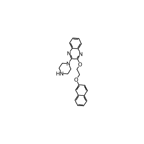 c1ccc2cc(OCCOc3nc4ccccc4nc3N3CCNCC3)ccc2c1